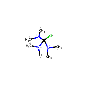 CN(C)C(Cl)(N(C)C)N(C)C